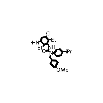 CCc1c([NH])cc(Cl)c(CC)c1NC(=O)N(Cc1ccc(OC)cc1)c1ccc(C(C)C)cc1